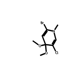 COC1(OC)C=C(Br)N(C)C=C1Cl